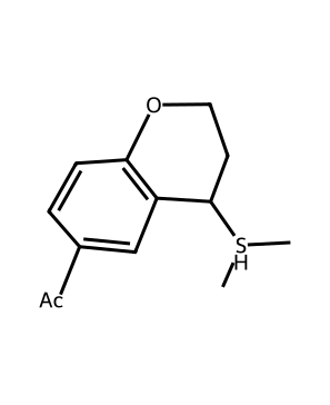 CC(=O)c1ccc2c(c1)C([SH](C)C)CCO2